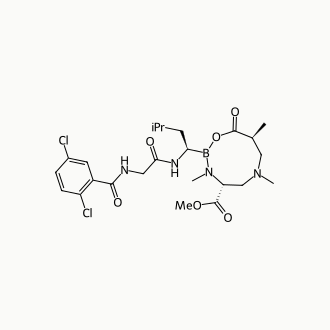 COC(=O)[C@H]1CN(C)C[C@H](C)C(=O)OB([C@H](CC(C)C)NC(=O)CNC(=O)c2cc(Cl)ccc2Cl)N1C